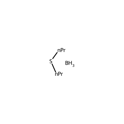 B.CCCSCCC